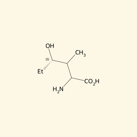 CC[C@H](O)C(C)C(N)C(=O)O